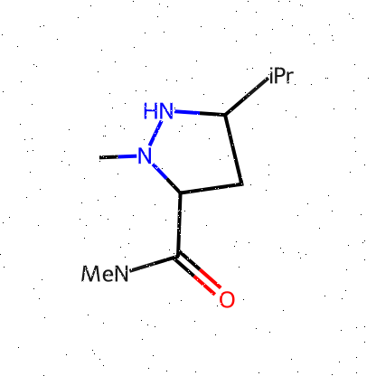 CNC(=O)C1CC(C(C)C)NN1C